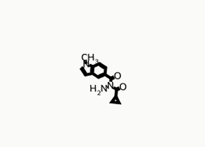 Cn1ccc2cc(C(=O)N(N)C(=O)C3CC3)ccc21